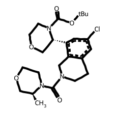 C[C@H]1COCCN1C(=O)N1CCc2cc(Cl)cc([C@@H]3COCCN3C(=O)OC(C)(C)C)c2C1